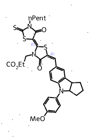 CCCCCN1C(=O)/C(=c2\s/c(=C/c3ccc4c(c3)C3CCCC3N4c3ccc(OC)cc3)c(=O)n2CC(=O)OCC)SC1=S